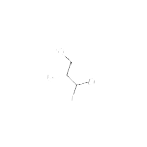 CCC(I)[C@H](CC)CO